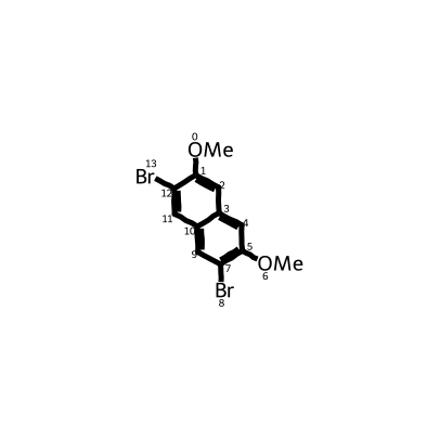 COc1cc2cc(OC)c(Br)cc2cc1Br